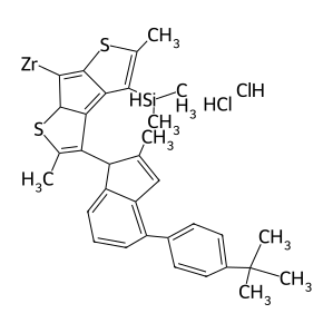 CC1=Cc2c(-c3ccc(C(C)(C)C)cc3)cccc2C1C1=C(C)SC2[C]([Zr])=c3sc(C)c([SiH](C)C)c3=C12.Cl.Cl